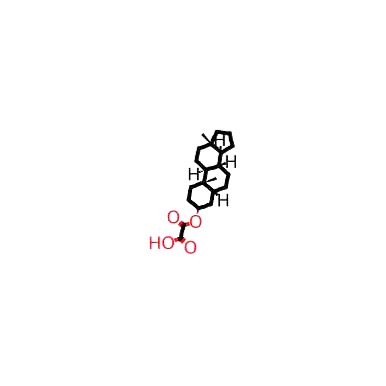 C[C@@]12CCC[C@H]1[C@@H]1CC[C@@H]3C[C@H](OC(=O)C(=O)O)CC[C@]3(C)[C@H]1CC2